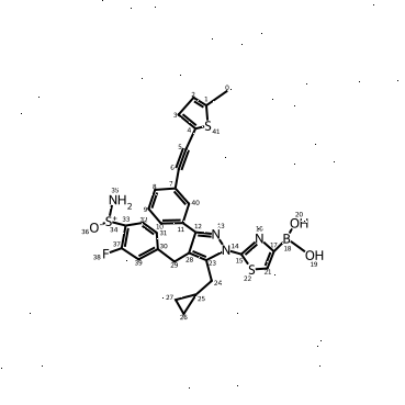 Cc1ccc(C#Cc2cccc(-c3nn(-c4nc(B(O)O)cs4)c(CC4CC4)c3Cc3ccc([S+](N)[O-])c(F)c3)c2)s1